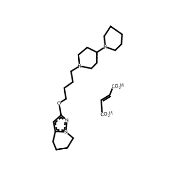 O=C(O)C=CC(=O)O.c1c(OCCCCN2CCC(N3CCCCC3)CC2)nn2c1CCCC2